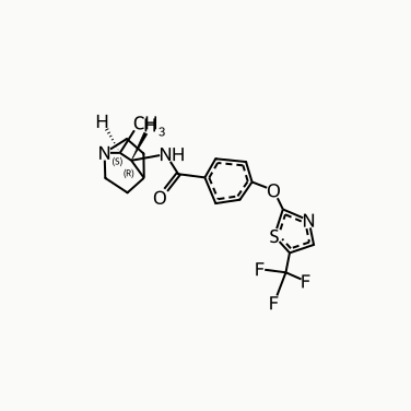 C[C@H]1[C@H](NC(=O)c2ccc(Oc3ncc(C(F)(F)F)s3)cc2)C2CCN1CC2